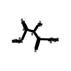 CCCCCCCC(=O)N(C(=O)CCCCCCC)C(C)C